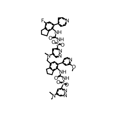 COc1cc(-c2cc(CN(C)c3cnnc(S(=O)(=O)NC(=O)Nc4c(-c5ccncc5)cc(F)c5c4CCC5)c3)c3c(c2NC(=O)NS(=O)(=O)c2cc(N(C)C)cnn2)CCC3)ccn1